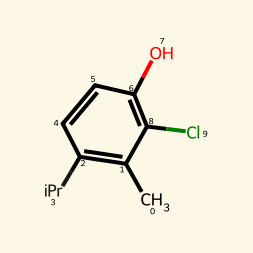 Cc1c(C(C)C)ccc(O)c1Cl